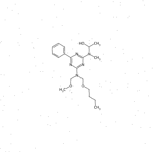 CCCCOCN(COC)c1nc(-c2ccccc2)nc(N(C)C(C)O)n1